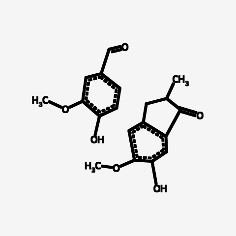 COc1cc(C=O)ccc1O.COc1cc2c(cc1O)C(=O)C(C)C2